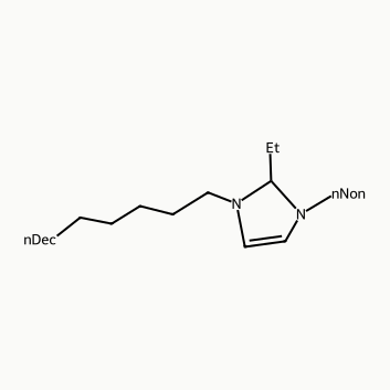 CCCCCCCCCCCCCCCN1C=CN(CCCCCCCCC)C1CC